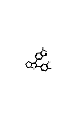 Fc1ccc(-c2nn3c(c2-c2ccc4[nH]ncc4c2)CCC3)cc1Cl